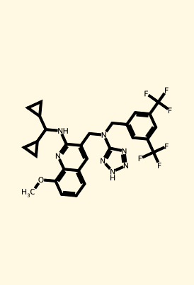 COc1cccc2cc(CN(Cc3cc(C(F)(F)F)cc(C(F)(F)F)c3)c3nn[nH]n3)c(NC(C3CC3)C3CC3)nc12